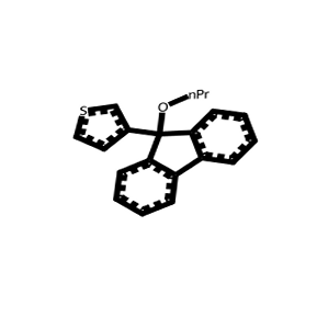 CCCOC1(c2ccsc2)c2ccccc2-c2ccccc21